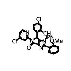 COc1ccccc1-c1nc2c(n1C(C)C)C(c1ccc(Cl)cc1C)N(c1cc(Cl)ccn1)C2=O